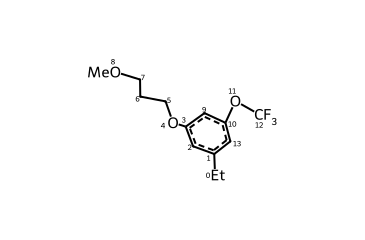 CCc1cc(OCCCOC)cc(OC(F)(F)F)c1